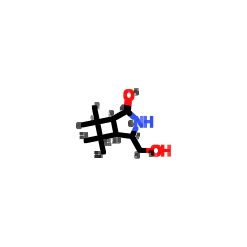 CC1(C)C2C(=O)NC(CO)C2C1(C)C